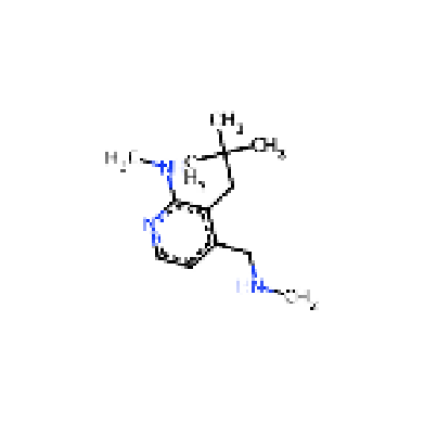 CNCc1ccnc(NC)c1CC(C)(C)C